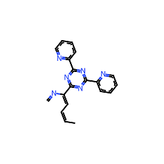 C=N/C(=C\C=C/C)c1nc(-c2ccccn2)nc(-c2ccccn2)n1